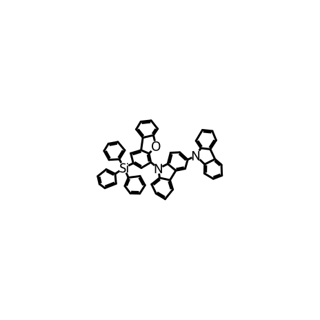 c1ccc([Si](c2ccccc2)(c2ccccc2)c2cc(-n3c4ccccc4c4cc(-n5c6ccccc6c6ccccc65)ccc43)c3oc4ccccc4c3c2)cc1